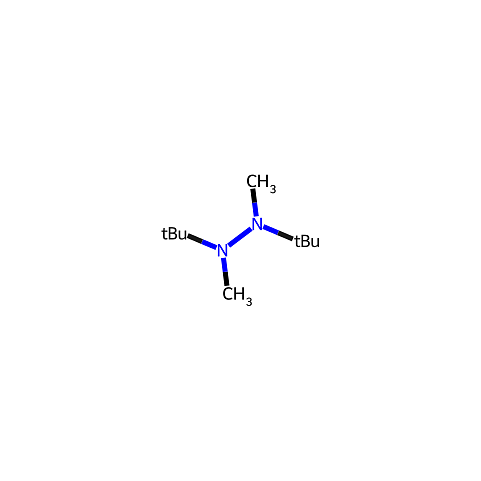 CN(N(C)C(C)(C)C)C(C)(C)C